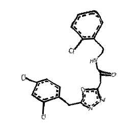 O=C(NCc1ccccc1Cl)c1nnc(Cc2ccc(Cl)cc2Cl)o1